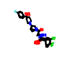 O=C(NCC(=O)N1CCC(N2CCC(O)(c3ccc(F)cc3)CC2)C1)c1ccc(Cl)c(Cl)c1